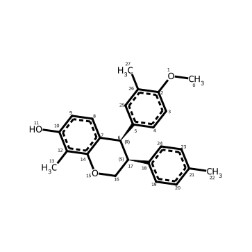 COc1ccc([C@@H]2c3ccc(O)c(C)c3OC[C@@H]2c2ccc(C)cc2)cc1C